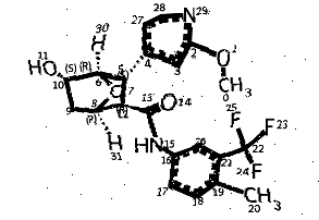 COc1cc([C@H]2[C@H]3O[C@H](C[C@@H]3O)[C@@H]2C(=O)Nc2ccc(C)c(C(F)(F)F)c2)ccn1